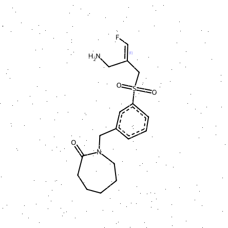 NC/C(=C\F)CS(=O)(=O)c1cccc(CN2CCCCCC2=O)c1